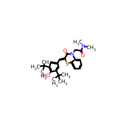 CN(C)C(=O)CN1C(=O)C(=Cc2cc(C(C)(C)C)c(O)c(C(C)(C)C)c2)Sc2ccccc21